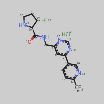 Cl.O=C(NCc1cc(-c2ccc(C(F)(F)F)nc2)ncn1)[C@H]1NCC[C@@H]1F